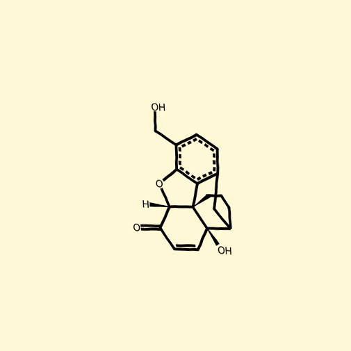 O=C1C=C[C@@]2(O)C3CCC[C@@]24c2c(ccc(CO)c2O[C@@H]14)C3